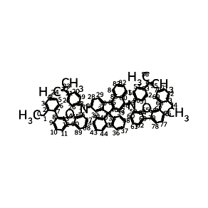 CCc1ccccc1-c1cccc2c1oc1c(N(c3ccc(C(C)C)cc3)c3ccc4c(c3)C(c3ccccc3)(c3ccccc3)c3cc(N(c5ccc(C(C)C)cc5)c5cccc6c5oc5c(-c7ccccc7CC)cccc56)c5ccccc5c3-4)cccc12